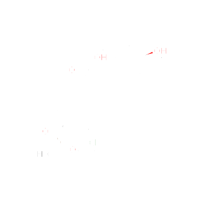 CS(=O)(=O)c1ccc(C(CC2CC[C@@H](O)C2)C(=O)O)cc1Cl